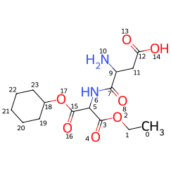 CCOC(=O)C(NC(=O)C(N)CC(=O)O)C(=O)OC1CCCCC1